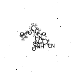 Cn1c(C(=O)Nc2ccc(C#N)cc2-c2noc(=O)[nH]2)cc2cccc(OCc3ccco3)c21